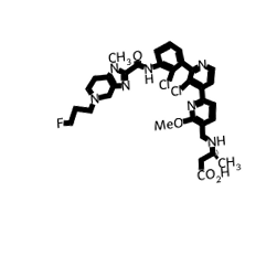 COc1nc(-c2ccnc(-c3cccc(NC(=O)c4nc5c(n4C)CCN(CCCF)C5)c3Cl)c2Cl)ccc1CN[C@@H](C)CC(=O)O